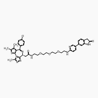 Cc1sc2c(c1C)C(c1ccc(Cl)cc1)=N[C@@H](CC(=O)NCCOCCOCCOCCNc1ccc(-c3ccc4c(c3)NC(=O)C4)cn1)c1nnc(C)n1-2